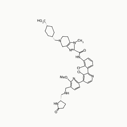 COc1nc(-c2ccnc(-c3cccc(NC(=O)c4nc5c(n4C)CCN(C[C@H]4CC[C@@H](C(=O)O)CC4)C5)c3Cl)c2Cl)ccc1CNC[C@@H]1CCC(=O)N1